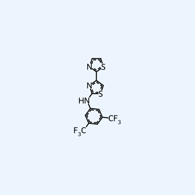 FC(F)(F)c1cc(Nc2nc(-c3nccs3)cs2)cc(C(F)(F)F)c1